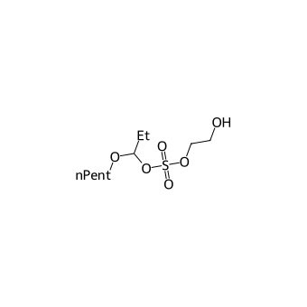 CCCCCOC(CC)OS(=O)(=O)OCCO